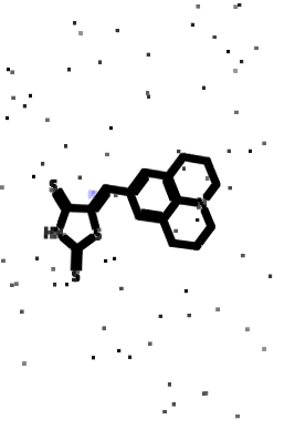 S=C1NC(=S)/C(=C/c2cc3c4c(c2)CCCN4CCC3)S1